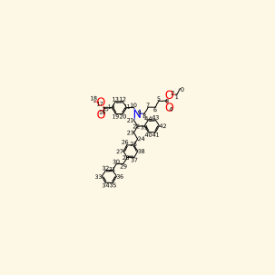 CCOC(=O)CCCCN(Cc1ccc(C(=O)OC)cc1)CC(CCc1ccc(CCc2ccccc2)cc1)c1ccccc1